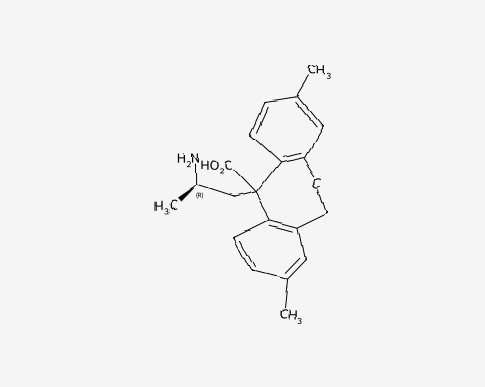 Cc1ccc2c(c1)CCc1cc(C)ccc1C2(C[C@@H](C)N)C(=O)O